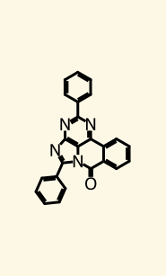 O=c1c2ccccc2c2nc(-c3ccccc3)nc3nc(-c4ccccc4)n1c32